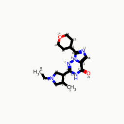 CCN1CC(C)C(c2nn3c(C4CCOCC4)ncc3c(=O)[nH]2)C1